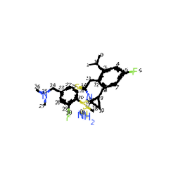 CC(C)c1cc(F)cc(C2CC2)c1CC(=S)N=[SH](C)(N)c1ccc(CN(C)C)cc1F